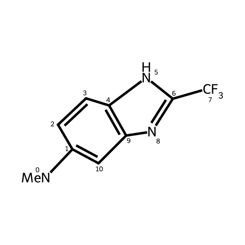 CNc1ccc2[nH]c(C(F)(F)F)nc2c1